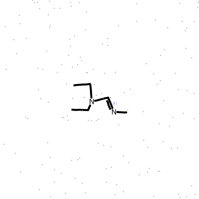 CCN(/[C]=N/C)CC